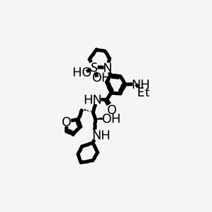 CCNc1cc(C(=O)N[C@@H](Cc2ccco2)[C@@H](O)CNC2CCCCC2)cc(N2CCCCS2(O)O)c1